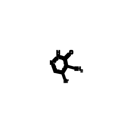 Bc1c(Br)cn[nH]c1=O